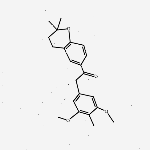 COc1cc(CC(=O)c2ccc3c(c2)CCC(C)(C)O3)cc(OC)c1C